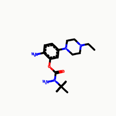 CCN1CCN(c2ccc(N)c(OC(=O)N(N)C(C)(C)C)c2)CC1